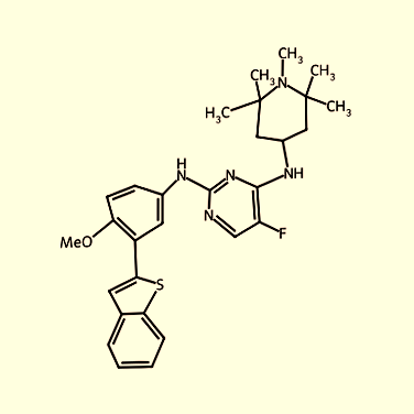 COc1ccc(Nc2ncc(F)c(NC3CC(C)(C)N(C)C(C)(C)C3)n2)cc1-c1cc2ccccc2s1